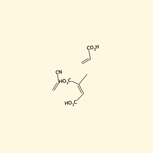 C/C(=C/C(=O)O)C(=O)O.C=CC#N.C=CC(=O)O